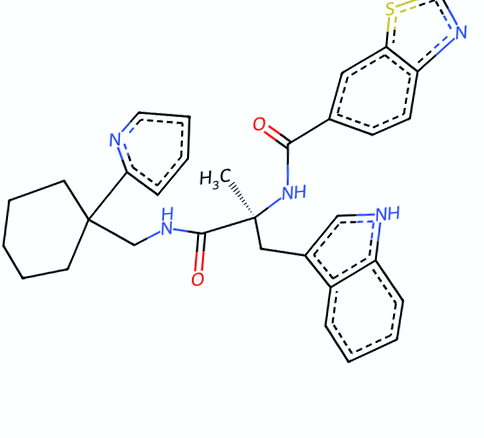 C[C@@](Cc1c[nH]c2ccccc12)(NC(=O)c1ccc2ncsc2c1)C(=O)NCC1(c2ccccn2)CCCCC1